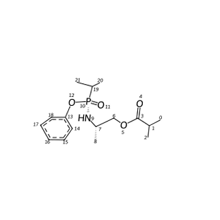 CC(C)C(=O)OC[C@H](C)N[P@](=O)(Oc1ccccc1)C(C)C